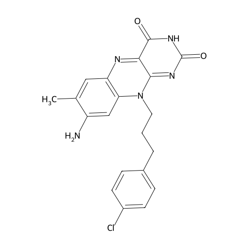 Cc1cc2nc3c(=O)[nH]c(=O)nc-3n(CCCc3ccc(Cl)cc3)c2cc1N